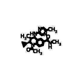 CNC(=O)c1ccc2c(c1)C(Nc1cnc(C)cn1)C(C)[C@H](C1CC1)N2C(C)=O